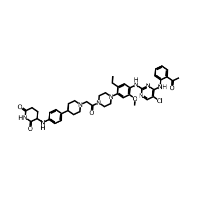 CCc1cc(Nc2ncc(Cl)c(Nc3ccccc3C(C)=O)n2)c(OC)cc1N1CCN(C(=O)CN2CCC(c3ccc(NC4CCC(=O)NC4=O)cc3)CC2)CC1